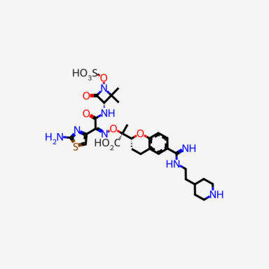 CC1(C)[C@H](NC(=O)/C(=N\O[C@](C)(C(=O)O)[C@H]2CCc3cc(C(=N)NCCC4CCNCC4)ccc3O2)c2csc(N)n2)C(=O)N1OS(=O)(=O)O